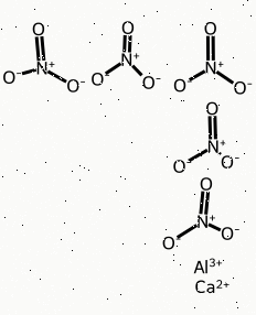 O=[N+]([O-])[O-].O=[N+]([O-])[O-].O=[N+]([O-])[O-].O=[N+]([O-])[O-].O=[N+]([O-])[O-].[Al+3].[Ca+2]